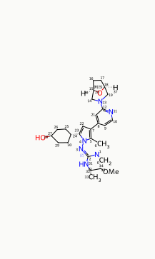 C=N/C(=N\n1c(C)c(-c2ccnc(N3C[C@H]4CC[C@@H](C3)O4)c2)cc1[C@H]1CC[C@H](O)CC1)N[C@@H](C)COC